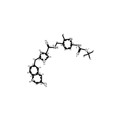 Cc1nc(NC(=O)OC(C)(C)C)ccc1CNC(=O)c1coc(Cc2ccc3ncc(Cl)cc3c2)n1